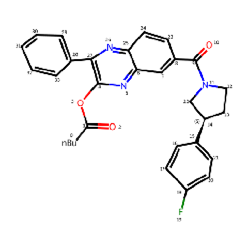 CCCCC(=O)Oc1nc2cc(C(=O)N3CC[C@@H](c4ccc(F)cc4)C3)ccc2nc1-c1ccccc1